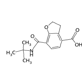 CC(C)(C)NC(=O)c1ccc(C(=O)O)c2c1OCC2